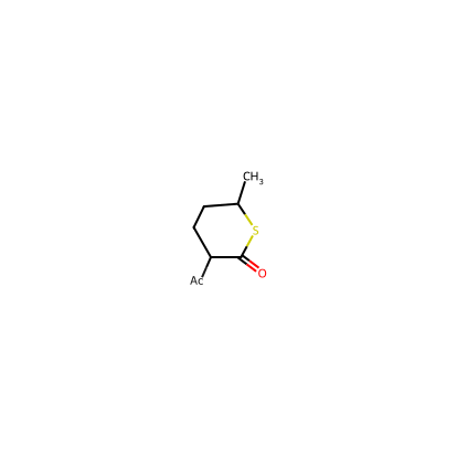 CC(=O)C1CCC(C)SC1=O